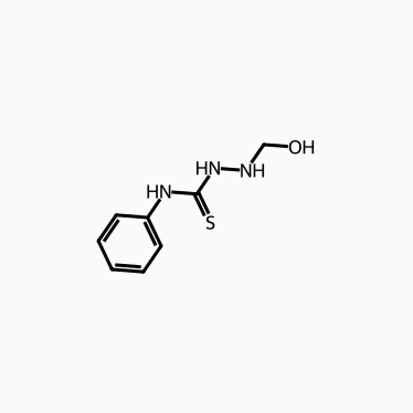 OCNNC(=S)Nc1ccccc1